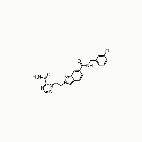 NC(=O)c1ncnn1CCn1cc2ccc(C(=O)NCc3cccc(Cl)c3)cc2n1